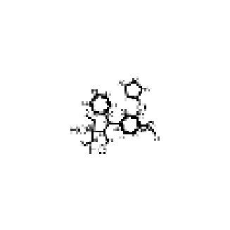 CCC(O)(CC)C(CO)C(c1ccccc1)c1ccc(OC)c(OC2CCCC2)c1